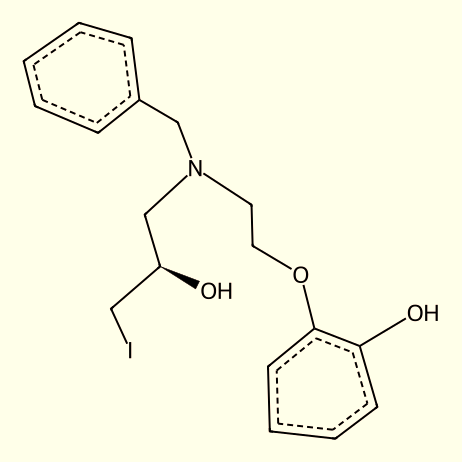 Oc1ccccc1OCCN(Cc1ccccc1)C[C@@H](O)CI